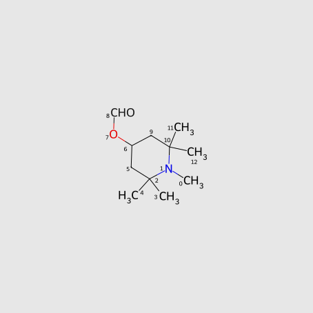 CN1C(C)(C)CC(OC=O)CC1(C)C